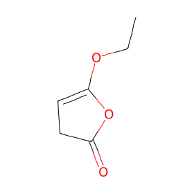 CCOC1=CCC(=O)O1